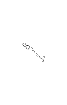 CCc1ccc(OCCCCOCC=C(Cl)Cl)cc1